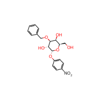 O=[N+]([O-])c1ccc(O[C@H]2O[C@H](CO)[C@H](O)[C@H](OCc3ccccc3)[C@H]2O)cc1